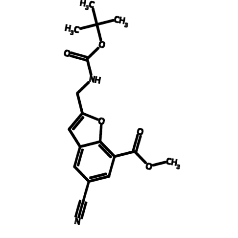 COC(=O)c1cc(C#N)cc2cc(CNC(=O)OC(C)(C)C)oc12